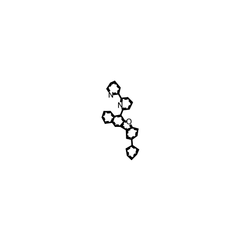 c1ccc(-c2ccc3oc4c(-c5cccc(-c6ccccn6)n5)c5ccccc5cc4c3c2)cc1